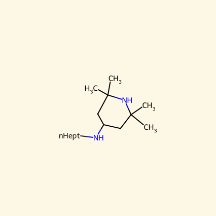 CCCCCCCNC1CC(C)(C)NC(C)(C)C1